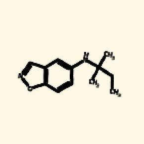 CCC(C)(C)Nc1ccc2oncc2c1